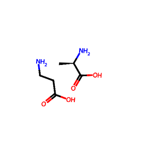 C[C@@H](N)C(=O)O.NCCC(=O)O